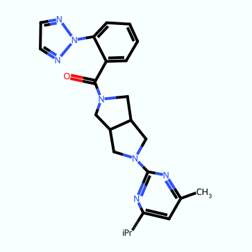 Cc1cc(C(C)C)nc(N2CC3CN(C(=O)c4ccccc4-n4nccn4)CC3C2)n1